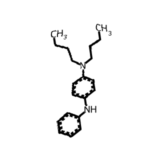 CCCCN(CCCC)c1ccc(Nc2ccccc2)cc1